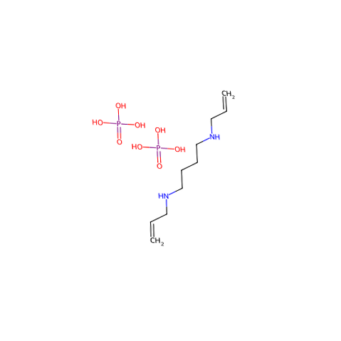 C=CCNCCCCNCC=C.O=P(O)(O)O.O=P(O)(O)O